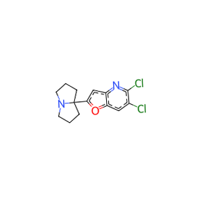 Clc1cc2oc(C34CCCN3CCC4)cc2nc1Cl